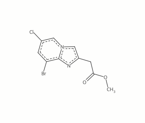 COC(=O)Cc1cn2cc(Cl)cc(Br)c2n1